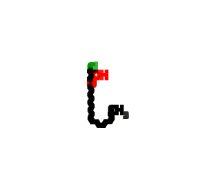 CC/C=C\C/C=C\C/C=C\CCCCCCCCOCC(O)CCl